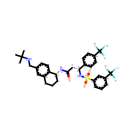 CC(C)(C)NCc1ccc2c(c1)CCC[C@H]2NC(=O)C[C@@H](NS(=O)(=O)c1cccc(C(F)(F)F)c1)c1ccc(C(F)(F)F)cc1